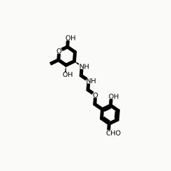 CC1OC(O)C[C@H](NCNCOCc2cc(C=O)ccc2O)[C@@H]1O